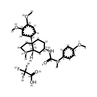 COc1ccc(N(C)C(=O)N[C@@H]2CC[C@@]3(c4ccc(OC)c(OC)c4)CCN(C)[C@H]3C2)cc1.O=C(O)C(F)(F)F